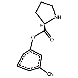 N#Cc1cccc(OC(=O)[C@H]2CCCN2)c1